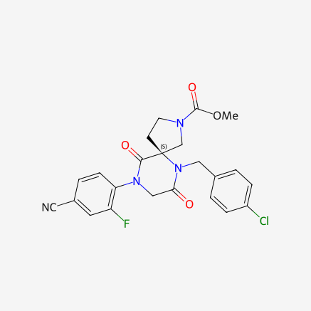 COC(=O)N1CC[C@]2(C1)C(=O)N(c1ccc(C#N)cc1F)CC(=O)N2Cc1ccc(Cl)cc1